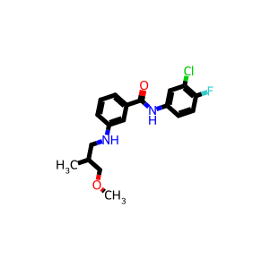 COCC(C)CNc1cccc(C(=O)Nc2ccc(F)c(Cl)c2)c1